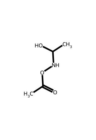 CC(=O)ONC(C)O